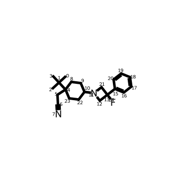 CC(C)(C)C1(CC#N)CCC(N2CC(F)(c3ccccc3)C2)CC1